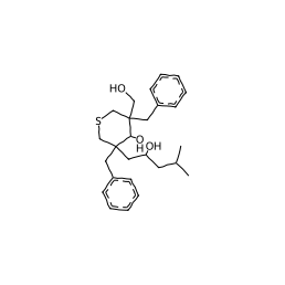 CC(C)CC(O)CC1(Cc2ccccc2)CSCC(CO)(Cc2ccccc2)C1O